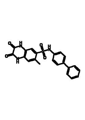 Cc1cc2[nH]c(=O)c(=O)[nH]c2cc1S(=O)(=O)Nc1ccc(-c2ccccc2)cc1